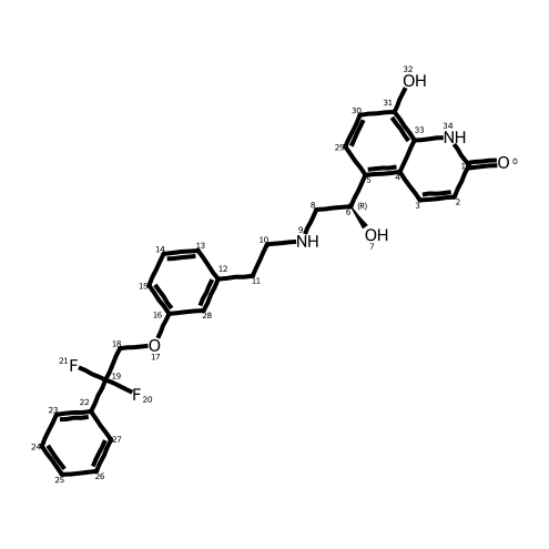 O=c1ccc2c([C@@H](O)CNCCc3cccc(OCC(F)(F)c4ccccc4)c3)ccc(O)c2[nH]1